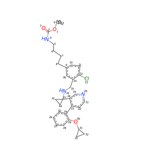 CC(C)(C)OC(=O)NCCCCc1ccc(Cl)c(CNC2(c3cnccc3-c3ccccc3OC3CC3)CC2)c1